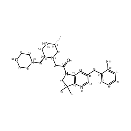 C[C@@H]1CN(CC(=O)N2CC(C)(C)c3ncc(Cc4ccccc4F)cc32)[C@@H](CN2CCOCC2)CN1